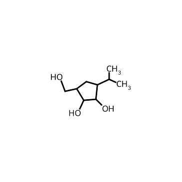 CC(C)C1CC(CO)C(O)C1O